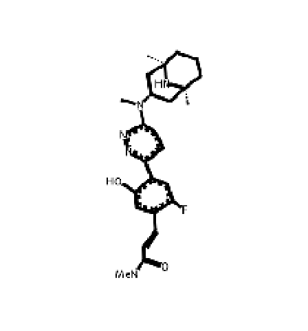 CNC(=O)/C=C/c1cc(O)c(-c2ccc(N(C)[C@@H]3C[C@]4(C)CCC[C@](C)(C3)N4)nn2)cc1F